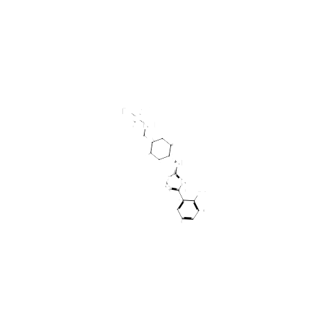 CCS(=O)(=O)NC[C@H]1CC[C@H](Nc2nc(-c3ccccc3F)no2)CC1